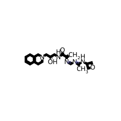 C=C(/N=C\N=C(/C)NC1COC1)C(=O)NC[C@H](O)CN1CCC2=C(CCC=C2)C1